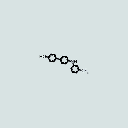 Oc1ccc(-c2ccc(Nc3cccc(C(F)(F)F)c3)cc2)cc1